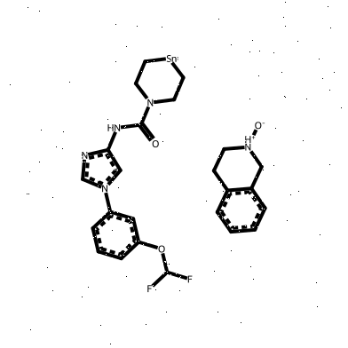 O=C(Nc1cn(-c2cccc(OC(F)F)c2)cn1)N1C[CH2][Sn][CH2]C1.[O-][NH+]1CCc2ccccc2C1